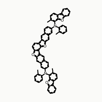 Cc1ccccc1N(c1ccc2cc3c(cc2c1)oc1c3ccc2oc3cc4cc(N(c5ccccc5C)c5c(C)ccc6c5oc5ccccc56)ccc4cc3c21)c1c(C)ccc2c1oc1ccccc12